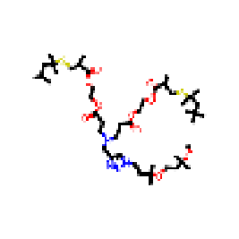 COC(C)(C)CCOC(C)(C)CCn1cc(CN(CCC(=O)OCCOC(=O)C(C)CSC(C)(C)CC(C)C)CCC(=O)OCCOC(=O)C(C)CSC(C)(C)CC(C)(C)C)nn1